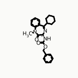 CN1C(=O)[C@@H](NC(=O)OCc2ccccc2)N=C(C2CCCCC2)c2ccccc21